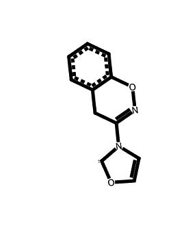 [C]1OC=CN1C1=NOc2ccccc2C1